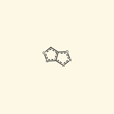 c1onc2nnoc12